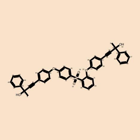 CC(O)(C#Cc1ccc(Oc2ccc(S(=O)(=O)c3ccccc3Oc3ccc(C#CC(C)(O)c4ccccc4)cc3)cc2)cc1)c1ccccc1